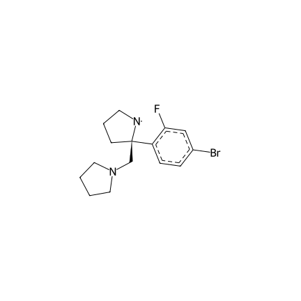 Fc1cc(Br)ccc1[C@]1(CN2CCCC2)CCC[N]1